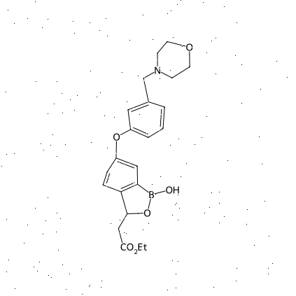 CCOC(=O)CC1OB(O)c2cc(Oc3cccc(CN4CCOCC4)c3)ccc21